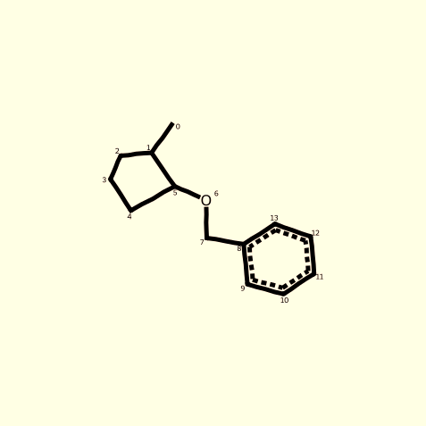 CC1CCCC1OCc1ccccc1